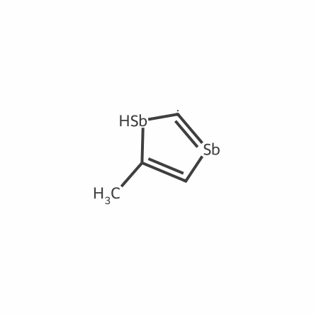 C[C]1=[CH][Sb]=[C][SbH]1